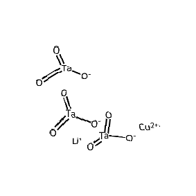 [Cu+2].[Li+].[O]=[Ta](=[O])[O-].[O]=[Ta](=[O])[O-].[O]=[Ta](=[O])[O-]